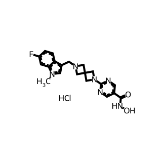 Cl.Cn1cc(CN2CC3(C2)CN(c2ncc(C(=O)NO)cn2)C3)c2ccc(F)cc21